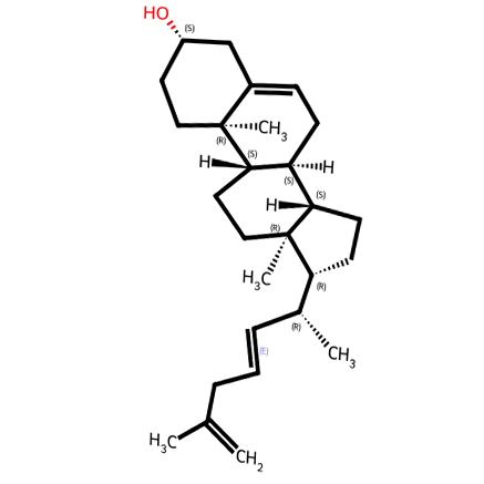 C=C(C)C/C=C/[C@@H](C)[C@H]1CC[C@H]2[C@@H]3CC=C4C[C@@H](O)CC[C@]4(C)[C@H]3CC[C@]12C